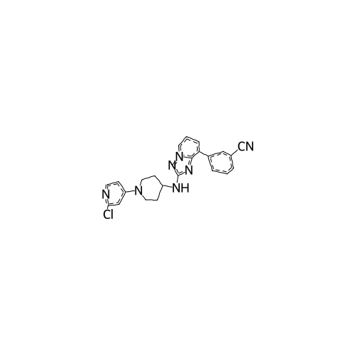 N#Cc1cccc(-c2cccn3nc(NC4CCN(c5ccnc(Cl)c5)CC4)nc23)c1